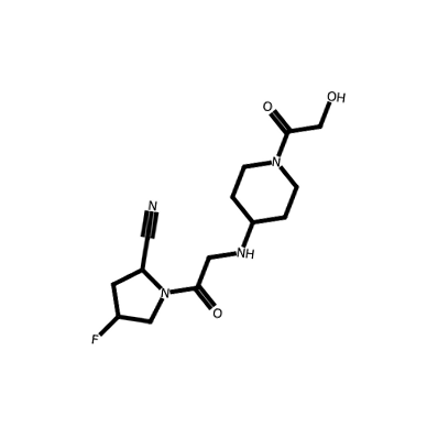 N#CC1CC(F)CN1C(=O)CNC1CCN(C(=O)CO)CC1